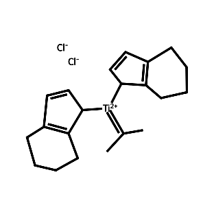 C[C](C)=[Ti+2]([CH]1C=CC2=C1CCCC2)[CH]1C=CC2=C1CCCC2.[Cl-].[Cl-]